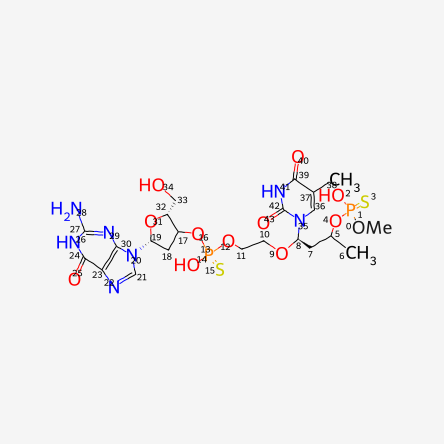 COP(O)(=S)OC(C)C[C@@H](OCCOP(O)(=S)OC1C[C@H](n2cnc3c(=O)[nH]c(N)nc32)O[C@@H]1CO)n1cc(C)c(=O)[nH]c1=O